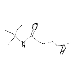 CNCCC(=O)NC(C)(C)C